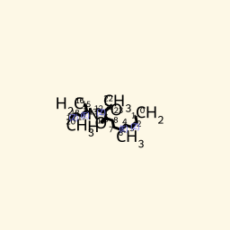 C=C/C=C\C=C(/C)CCC(=O)/C(=C\N/C(C=C)=C/C=C\C)C(C)=O